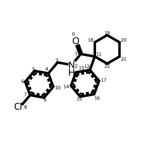 O=C(NCc1ccc(Cl)cc1)C1(c2ccccc2)CCCCC1